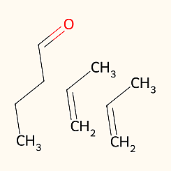 C=CC.C=CC.CCCC=O